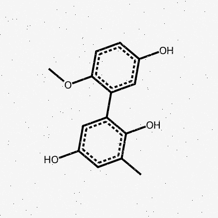 COc1ccc(O)cc1-c1cc(O)cc(C)c1O